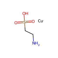 NCCS(=O)(=O)O.[Cu]